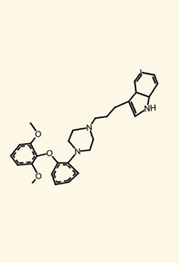 COc1cccc(OC)c1Oc1ccccc1N1CCN(CCCC2=CNC3C=CI=CC23)CC1